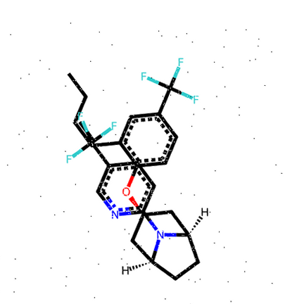 CC/C=C\c1cc(C(F)(F)F)ccc1O[C@H]1C[C@H]2CC[C@@H](C1)N2c1ccc(C(F)(F)F)cn1